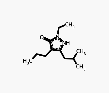 CCCc1c(CC(C)C)[nH]n(CC)c1=O